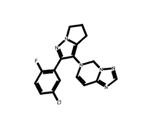 Fc1ccc(Cl)cc1-c1nn2c(c1N1C=Cc3ncnn3C1)CCC2